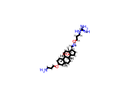 C[C@]12CC[C@H](OCCCN)C[C@H]1CC[C@@H]1[C@@H]2CC[C@]2(C)[C@@H](/C=N/OCCCNC(=N)N)CC[C@]12O